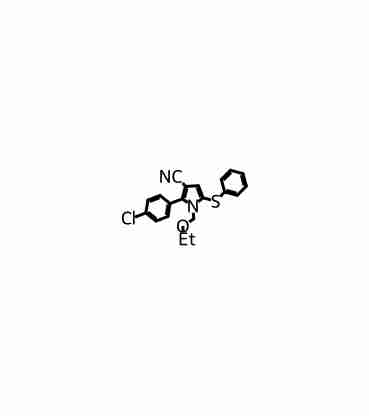 CCOCn1c(Sc2ccccc2)cc(C#N)c1-c1ccc(Cl)cc1